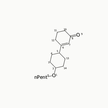 CCCCCOC1CCC(C2=CC(=O)CCC2)CC1